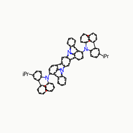 CC(C)c1ccc(N(c2ccccc2)c2ccc3c4cc5c(cc4n4c6ccccc6c2c34)c2ccc(N(c3ccccc3)c3ccc(C(C)C)cc3-c3ccccc3)c3c4ccccc4n5c23)c(-c2ccccc2)c1